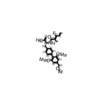 C=C/C(F)=C(\C)C(=O)N[C@@H](Cc1ccc(-c2c(OC)cc(COCC)cc2OC)cc1)C(=C)O